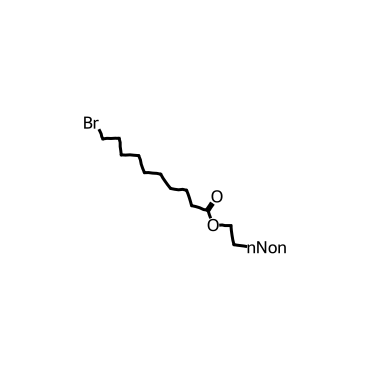 CCCCCCCCCCCOC(=O)CCCCCCCCCBr